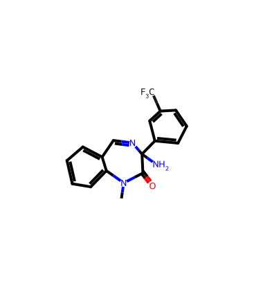 CN1C(=O)C(N)(c2cccc(C(F)(F)F)c2)N=Cc2ccccc21